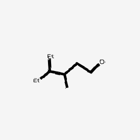 CCC(CC)C(C)CC[O]